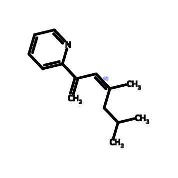 C=C(/C=C(/C)CC(C)C)c1ccccn1